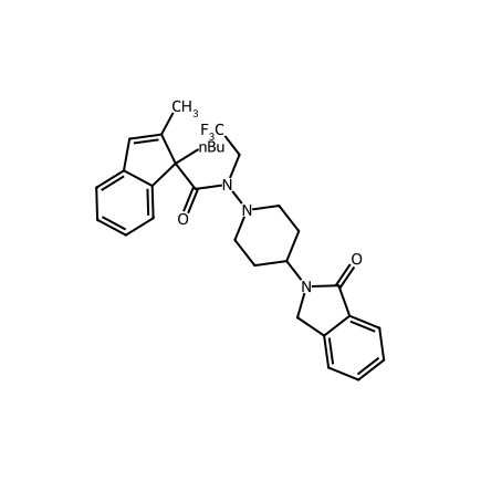 CCCCC1(C(=O)N(CC(F)(F)F)N2CCC(N3Cc4ccccc4C3=O)CC2)C(C)=Cc2ccccc21